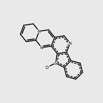 [O-][s+]1c2ccccc2c2ncc3c(c21)=NC1=CC=CCN1C=3